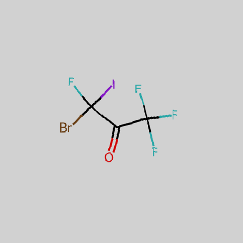 O=C(C(F)(F)F)C(F)(Br)I